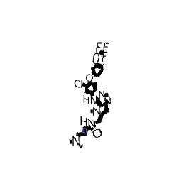 CN(C)C/C=C/C(=O)NCc1cc2ncnc(Nc3ccc(Oc4cccc(OC(F)(F)F)c4)c(Cl)c3)c2n1C